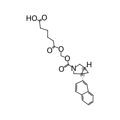 O=C(O)CCCCC(=O)OCOC(=O)N1C[C@H]2C[C@@]2(c2ccc3ccccc3c2)C1